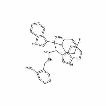 COc1ccccc1CNC(=O)C(c1c[nH]c2ccc(F)cc12)C(NC(C)=O)(c1c[nH]c2ccccc12)N1CC=CCC1